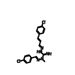 CN(N=Cc1ccc(Cl)cc1)C(=N)NN=C/C=C/c1ccc(Cl)cc1